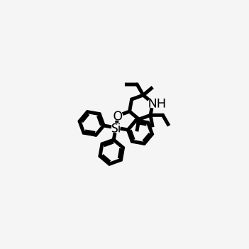 CCC1(C)CC(O[Si](c2ccccc2)(c2ccccc2)c2ccccc2)C(C)C(C)(CC)N1